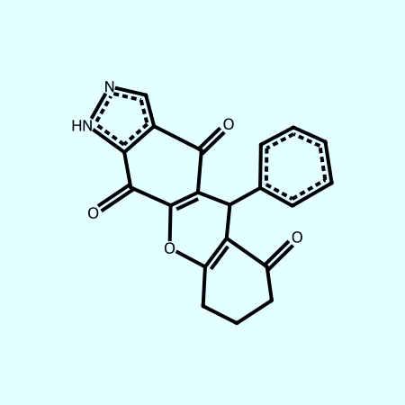 O=C1CCCC2=C1C(c1ccccc1)C1=C(O2)C(=O)c2[nH]ncc2C1=O